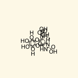 C[C@H]1O[C@H](O[C@H]2[C@H](O)[C@@H](O)[C@@H](O)[C@H](O)[C@@H]2O)[C@@H](N)C[C@@H]1NC(=N)C(=O)O.O=S(=O)(O)O